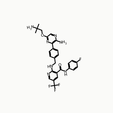 CC(C)(N)COc1cnc(N)c(-c2ccc(CNc3ncc(C(F)(F)F)cc3C(=O)Nc3ccc(F)cc3)cc2)n1